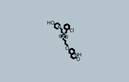 O=c1ccc2cc(OCCCCS(=O)(=O)N(CCN3CCC(O)CC3)Cc3ccccc3Cl)ccc2[nH]1